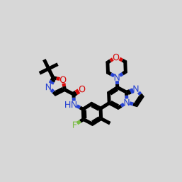 Cc1cc(F)c(NC(=O)c2cnc(C(C)(C)C)o2)cc1-c1cc(N2CCOCC2)c2nccn2c1